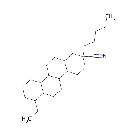 CCCCCC1(C#N)CCC2C(CCC3C4CCCC(CC)C4CCC23)C1